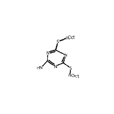 CCCCCCCCSc1nc([NH])nc(SCCCCCCCC)n1